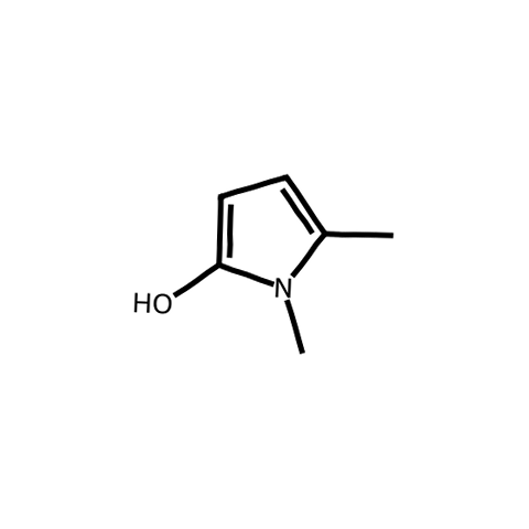 Cc1ccc(O)n1C